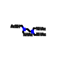 CC(=O)NCN(CCN(CNC(C)=O)CNC(C)=O)CNC(C)=O